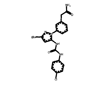 CC(C)(C)c1cc(NC(=O)Nc2ccc(Cl)cc2)n(-c2cccc(CC(N)=O)c2)n1